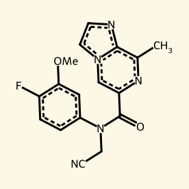 COc1cc(N(CC#N)C(=O)c2cn3ccnc3c(C)n2)ccc1F